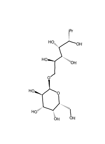 CC(C)[C@H](O)[C@@H](O)[C@H](O)[C@H](O)CO[C@H]1O[C@H](CO)[C@H](O)[C@H](O)[C@H]1O